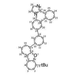 CC(C)(C)c1cccc2c1oc1c(-c3cccc(-c4ccc5c(c4)c4ccccc4c4nccn54)c3)cccc12